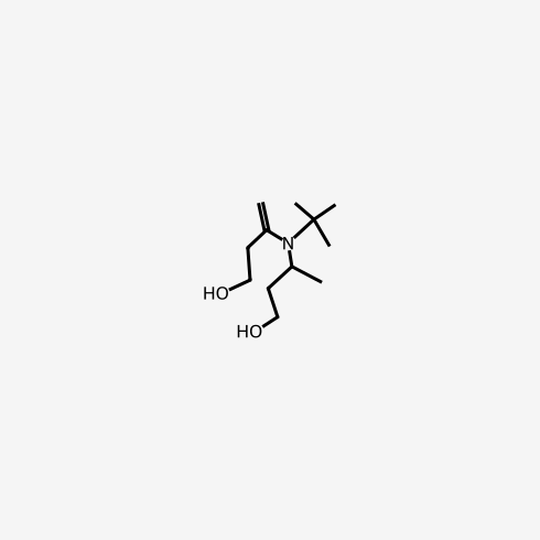 C=C(CCO)N(C(C)CCO)C(C)(C)C